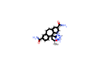 CC(C)(C)[C@@H](N)CC1(c2nnn[nH]2)c2ccc(C(N)=O)cc2CCc2cc(C(N)=O)ccc21